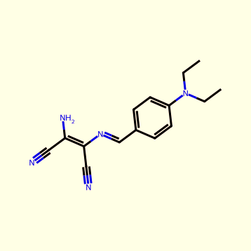 CCN(CC)c1ccc(C=NC(C#N)=C(N)C#N)cc1